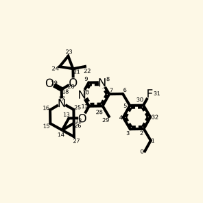 CCc1ccc(Cc2ncnc(OCC34CCN(C(=O)OC5(C)CC5)CC3C4)c2C)c(F)c1